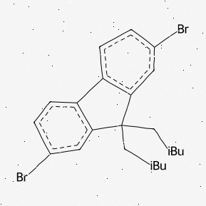 CCC(C)CC1(CC(C)CC)c2cc(Br)ccc2-c2ccc(Br)cc21